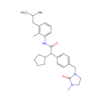 Cc1c(CC(C(=O)O)C(C)(C)C)cccc1NC(=O)C(c1ccc(CN2CCN(C)C2=O)cc1)C1CCCC1